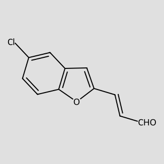 O=C/C=C/c1cc2cc(Cl)ccc2o1